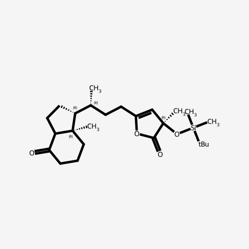 C[C@H](CCC1=C[C@@](C)(O[Si](C)(C)C(C)(C)C)C(=O)O1)[C@H]1CCC2C(=O)CCC[C@@]21C